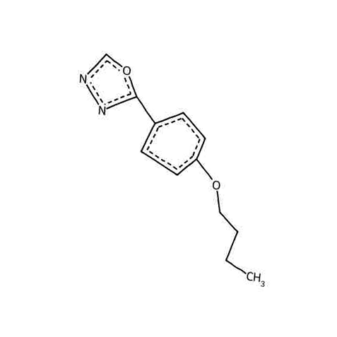 CCCCOc1ccc(-c2nnco2)cc1